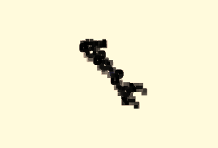 CCCCCCCOC1CCC(C(=O)Oc2ccc(/C=C/C(=O)OCCc3cc(N)cc(N)c3)cc2)CC1